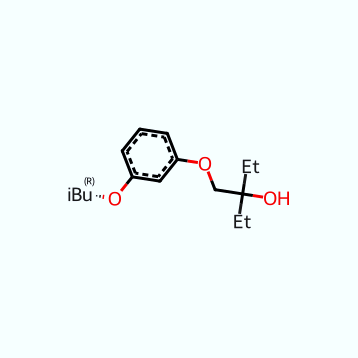 CC[C@@H](C)Oc1cccc(OCC(O)(CC)CC)c1